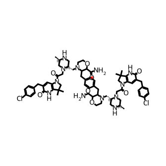 C[C@@H]1CN(CC(=O)N2CC(C)(C)c3[nH]c(=O)c(Cc4ccc(Cl)cc4)cc32)[C@@H](CN2CCOC(C(N)=O)C2Cc2ccc(CC3C(C(N)=O)OCCN3C[C@H]3CN[C@H](C)CN3CC(=O)N3CC(C)(C)c4[nH]c(=O)c(Cc5ccc(Cl)cc5)cc43)cc2)CN1